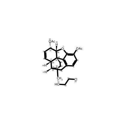 CC(=O)Oc1ccc2c3c1O[C@H]1[C@@H](OC(C)=O)C=C[C@H]4[C@@H](C2)N(C)CC[C@@]341.OCCCl